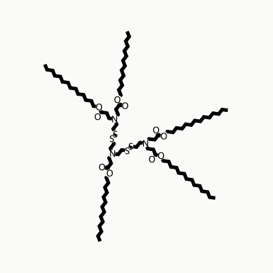 CCCCCCCCCCCCCCOC(=O)CCN(CCSSCCN(CCC(=O)OCCCCCCCCCCCCCC)CCC(=O)OCCCCCCCCCCCCCC)CCSSCCN(CCC(=O)OCCCCCCCCCCCCCC)CCC(=O)OCCCCCCCCCCCCCC